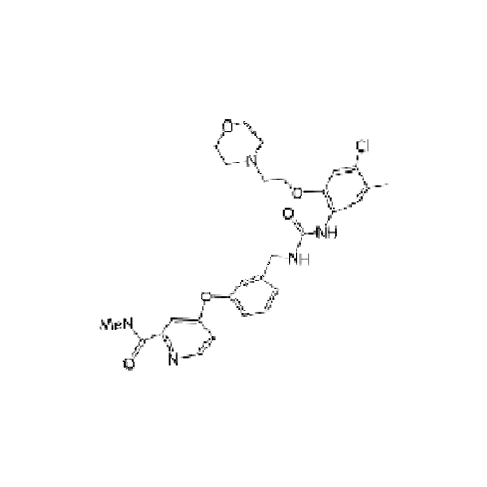 CNC(=O)c1cc(Oc2cccc(CNC(=O)Nc3cc(C)c(Cl)cc3OCCN3CCOCC3)c2)ccn1